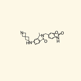 CC1c2cc(NC3CC4(C3)CN(C)C4)ccc2C(=O)N1Cc1ccc2[nH]c(=O)oc2c1